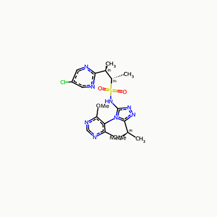 COc1ncnc(OC)c1-n1c(NS(=O)(=O)[C@@H](C)[C@H](C)c2ncc(Cl)cn2)nnc1[C@@H](C)OC